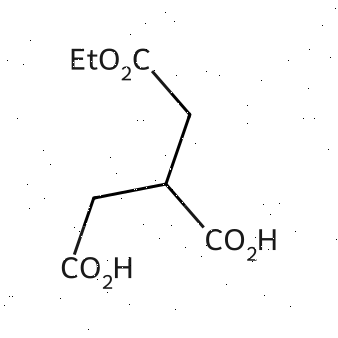 CCOC(=O)CC(CC(=O)O)C(=O)O